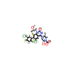 CO[C@H]1CSc2c(-c3cc(Cl)c(F)cc3F)c(Cl)cc3c(N4CCN(C(=O)O)C[C@@H]4C)nc(=O)n(c23)C1